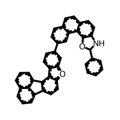 c1ccc(C2Nc3ccc4ccc5ccc(-c6ccc7c(c6)oc6ccc8c(c67)-c6cccc7cccc-8c67)cc5c4c3O2)cc1